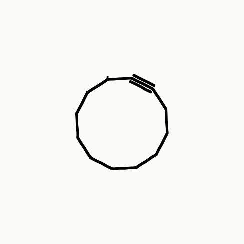 C1#CCCCCCCCCC[CH]1